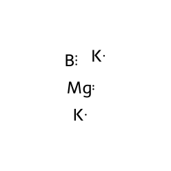 [B].[K].[K].[Mg]